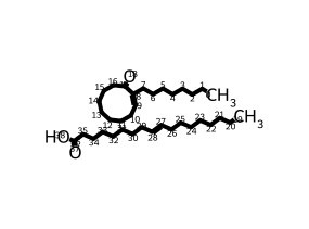 CCCCCCCCC1=CCCCCCCCC1=O.CCCCCCCCC=CCCCCCCCC(=O)O